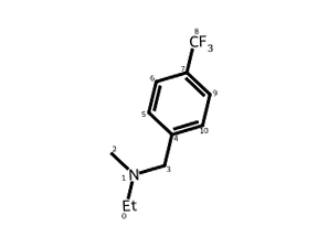 CCN(C)Cc1ccc(C(F)(F)F)cc1